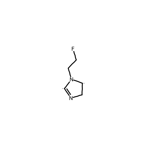 FCCN1[C]=NC[CH]1